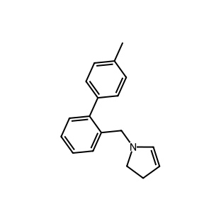 Cc1ccc(-c2ccccc2CN2C=CCC2)cc1